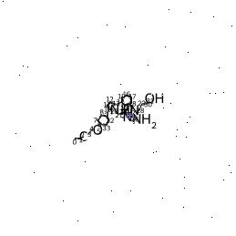 C=CCCCOc1ccc(-c2ccc(-c3ccccc3)n2CC(=O)/N=C(/N)NCCCO)cc1